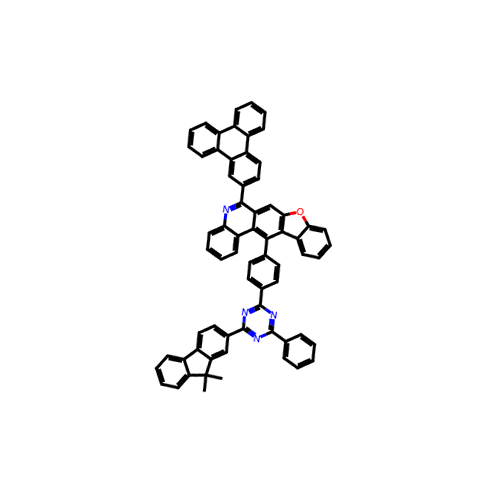 CC1(C)c2ccccc2-c2ccc(-c3nc(-c4ccccc4)nc(-c4ccc(-c5c6c(cc7c(-c8ccc9c%10ccccc%10c%10ccccc%10c9c8)nc8ccccc8c57)oc5ccccc56)cc4)n3)cc21